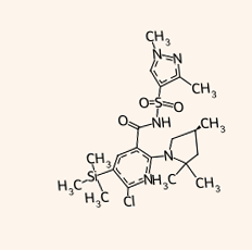 Cc1nn(C)cc1S(=O)(=O)NC(=O)c1cc([Si](C)(C)C)c(Cl)nc1N1C[C@@H](C)CC1(C)C